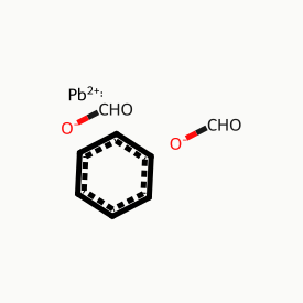 O=C[O-].O=C[O-].[Pb+2].c1ccccc1